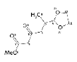 COC(=O)CC(=O)CC(C)C1OCCO1